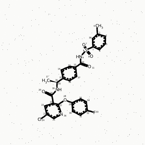 Cc1cccc(S(=O)(=O)NC(=O)c2ccc([C@H](C)NC(=O)c3cc(Cl)cnc3Oc3ccc(F)cc3)cc2)c1